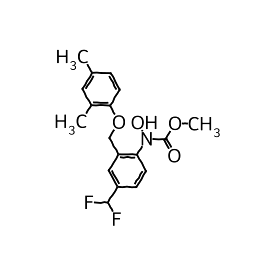 COC(=O)N(O)c1ccc(C(F)F)cc1COc1ccc(C)cc1C